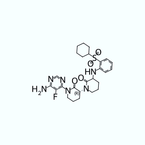 Nc1ncnc(N2CCC[C@@H](N3CCCC(Nc4ccccc4S(=O)(=O)C4CCCCC4)C3=O)C2=O)c1F